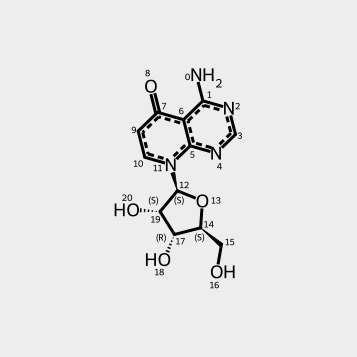 Nc1ncnc2c1c(=O)ccn2[C@H]1O[C@@H](CO)[C@H](O)[C@@H]1O